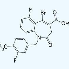 Cc1ccc(CN2C(=O)CC(C(=O)O)=C(Br)c3c(F)cccc32)cc1F